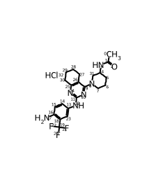 CC(=O)NC1CCCN(c2nc(Nc3ccc(N)c(C(F)(F)F)c3)nc3c2CCCC3)C1.Cl